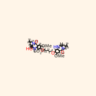 COc1cc2c(cc1OCCCCCOc1cc3c(cc1OC)C(=O)N1CC4(CC4)C[C@H]1C(O)N3C(=O)O)NC[C@@H]1CC3(CC3)CN1C2=O